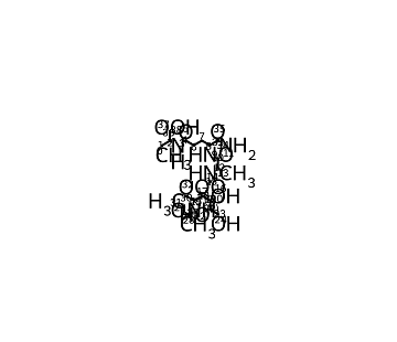 CCC(NC(=O)CCC(NC(=O)C(C)NC(=O)O[C@@H]([C@H](O)[C@H](O)CO)[C@@H](NC(C)=O)C(C)=O)C(N)=O)C(=O)O